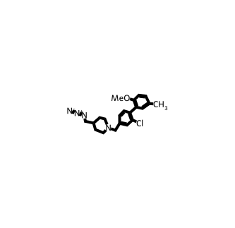 COc1ccc(C)cc1-c1ccc(CN2CCC(CN=[N+]=[N-])CC2)cc1Cl